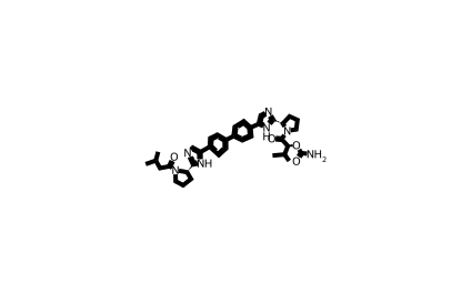 CC(C)CC(=O)N1CCC[C@H]1c1ncc(-c2ccc(-c3ccc(-c4cnc([C@@H]5CCCN5C(=O)[C@@H](OC(N)=O)C(C)C)[nH]4)cc3)cc2)[nH]1